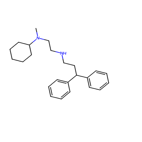 CN(CCNCCC(c1ccccc1)c1ccccc1)C1CCCCC1